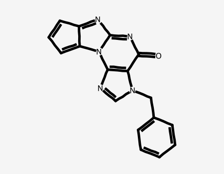 O=c1nc2nc3c(n2c2ncn(Cc4ccccc4)c12)=CC=C3